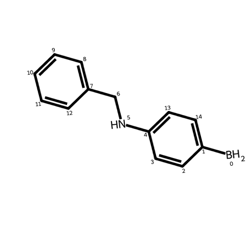 Bc1ccc(NCc2ccccc2)cc1